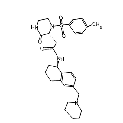 Cc1ccc(S(=O)(=O)N2CCNC(=O)[C@H]2CC(=O)N[C@@H]2CCCc3cc(CN4CCCCC4)ccc32)cc1